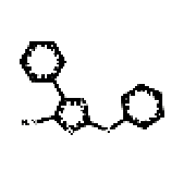 Nc1sc(Nc2ccccc2)nc1-c1ccccc1